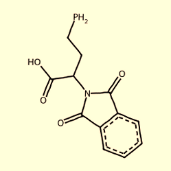 O=C(O)C(CCP)N1C(=O)c2ccccc2C1=O